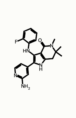 CN1C(=O)c2c([nH]c(-c3ccnc(N)c3)c2Nc2ccccc2F)CC1(C)C